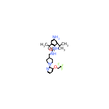 CC(C)c1cc(N)cc(C(C)C)c1NC(=O)NCC1CCN(c2ncccc2OCC(F)(F)F)CC1